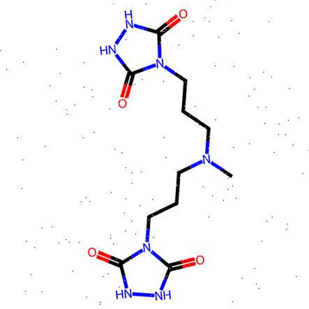 CN(CCCn1c(=O)[nH][nH]c1=O)CCCn1c(=O)[nH][nH]c1=O